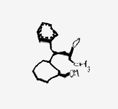 CC(=O)C(c1ccccc1)C1CCCCC1O